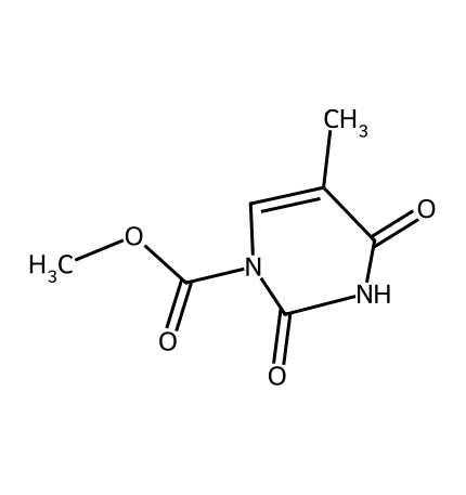 COC(=O)n1cc(C)c(=O)[nH]c1=O